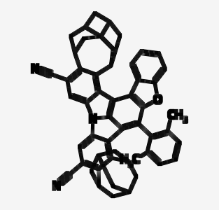 Cc1cccc(C)c1-c1c2oc3ccccc3c2c2c3c4c(c(C#N)cc3n3c5cc(C#N)c6c(c5c1c23)C1CC2CC(CC6C2)C1)C1CC2CC3CC4CC23C1